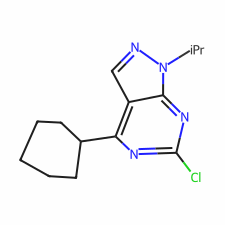 CC(C)n1ncc2c(C3CCCCC3)nc(Cl)nc21